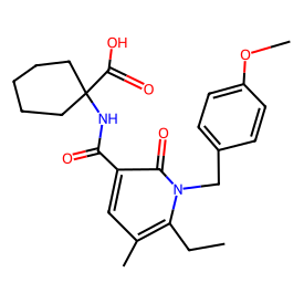 CCc1c(C)cc(C(=O)NC2(C(=O)O)CCCCC2)c(=O)n1Cc1ccc(OC)cc1